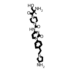 C[C@](N)(CO)C(=O)N1CCN(C(=O)Nc2ccn(-c3ccc(CCN4CC[C@H](N)C4)cc3)c(=O)n2)CC1